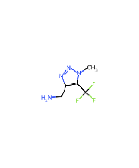 Cn1nnc(CN)c1C(F)(F)F